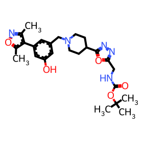 Cc1noc(C)c1-c1cc(O)cc(CN2CCC(c3nnc(CNC(=O)OC(C)(C)C)o3)CC2)c1